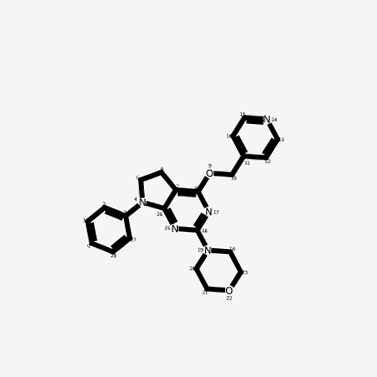 c1ccc(N2CCc3c(OCc4ccncc4)nc(N4CCOCC4)nc32)cc1